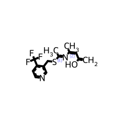 C=C(O)/C=C(C)\N=C(/C)SCc1cnccc1C(F)(F)F